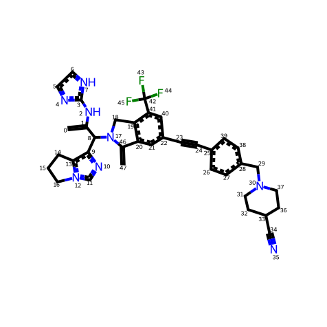 C=C(Nc1ncc[nH]1)C(c1ncn2c1CCC2)N1Cc2c(cc(C#Cc3ccc(CN4CCC(C#N)CC4)cc3)cc2C(F)(F)F)C1=C